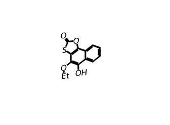 CCOc1c(O)c2ccccc2c2oc(=O)sc12